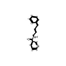 O=C(NCCCCc1c[c]ccc1)c1cccnc1